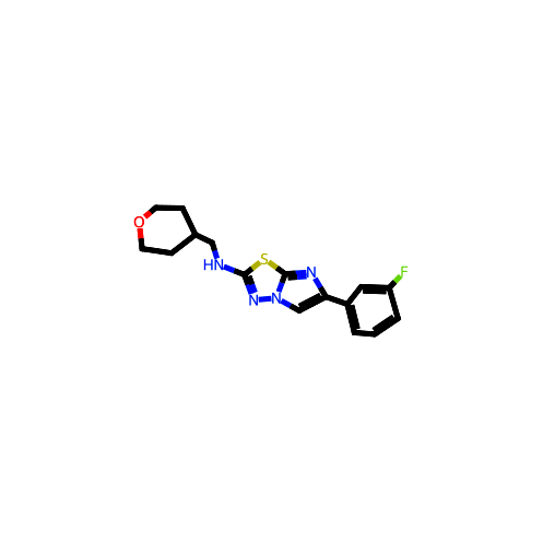 Fc1cccc(-c2cn3nc(NCC4CCOCC4)sc3n2)c1